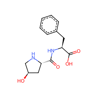 O=C(O)[C@H](Cc1ccccc1)NC(=O)[C@@H]1C[C@@H](O)CN1